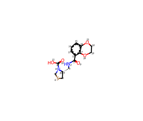 O=C(NC[C@@H]1CSCN1C(=O)O)c1cccc2c1OCCO2